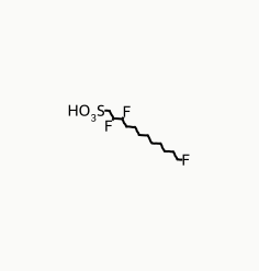 O=S(=O)(O)CC(F)C(F)CCCCCCCCCF